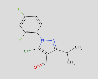 CC(C)c1nn(-c2ccc(F)cc2F)c(Cl)c1C=O